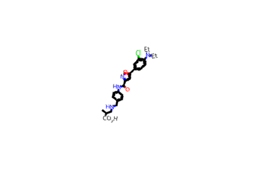 CCN(CC)c1ccc(-c2cc(C(=O)Nc3ccc(CNCC(C)C(=O)O)cc3)no2)cc1Cl